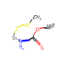 CSSC.NC(=O)[O][Mo]